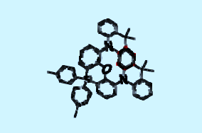 Cc1ccc([Si]2(c3ccc(C)cc3)c3cccc(N4c5ccccc5C(C)(C)c5ccccc54)c3Oc3c(N4c5ccccc5C(C)(C)c5ccccc54)cccc32)cc1